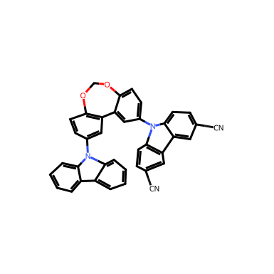 N#Cc1ccc2c(c1)c1cc(C#N)ccc1n2-c1ccc2c(c1)-c1cc(-n3c4ccccc4c4ccccc43)ccc1OCO2